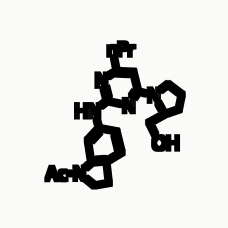 CCCc1cc(N2CCCC2CO)nc(Nc2ccc3c(c2)N(C(C)=O)CC3)n1